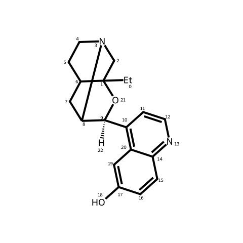 CCC12CN3CCC1CC3[C@H](c1ccnc3ccc(O)cc13)O2